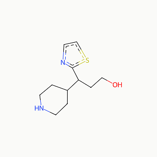 OCCC(c1nccs1)C1CCNCC1